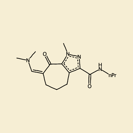 CCCNC(=O)c1nn(C)c2c1CCCC(=CN(C)C)C2=O